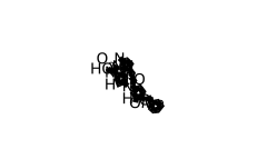 COc1cc(C(Nc2ccc(C(=N)NO)cc2)C(=O)NCc2ccc([N+](=O)[O-])cc2)ccc1OCc1ccccc1